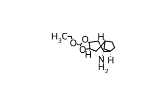 CCO[C@H]1OC2C[C@@]3(C[C@H]2O1)[C@H]1CC[C@H](C1)[C@@H]3N